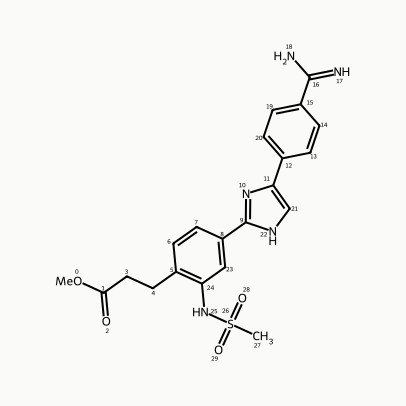 COC(=O)CCc1ccc(-c2nc(-c3ccc(C(=N)N)cc3)c[nH]2)cc1NS(C)(=O)=O